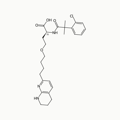 CC(C)(C(=O)N[C@@H](CCOCCCCc1ccc2c(n1)NCCC2)C(=O)O)c1ccccc1Cl